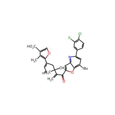 C=C(C(=O)c1cc2nc(-c3ccc(Cl)c(F)c3)cc(C(C)(C)C)c2o1)C(C)(C)C/C(=C\CCC)c1occ(C(=O)O)c1C